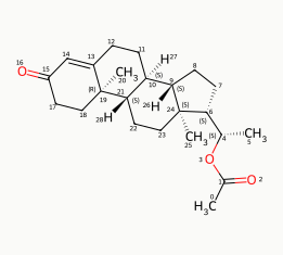 CC(=O)O[C@@H](C)[C@H]1CC[C@H]2[C@@H]3CCC4=CC(=O)CC[C@]4(C)[C@H]3CC[C@]12C